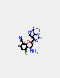 Cn1ncc2c(C(CCN)Oc3cc(Cl)ccc3C#N)ncnc21